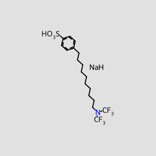 O=S(=O)(O)c1ccc(CCCCCCCCCCN(C(F)(F)F)C(F)(F)F)cc1.[NaH]